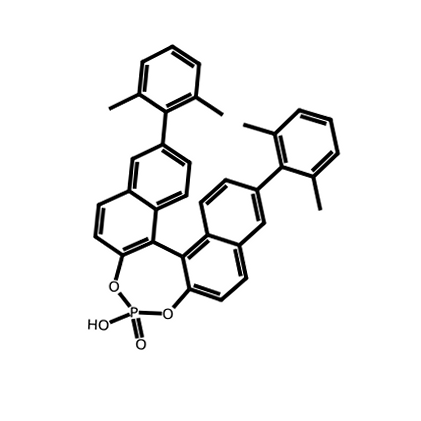 Cc1cccc(C)c1-c1ccc2c3c(ccc2c1)OP(=O)(O)Oc1ccc2cc(-c4c(C)cccc4C)ccc2c1-3